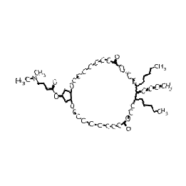 C=C=C=C=C1C(CCCCC)CCOC(=O)CCCCCCCCOC2CC(OC(=O)CCCN(C)C)CC2OCCCCCCCC(=O)OCCC1CCCCC